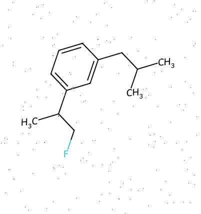 C[C](CF)c1cccc(CC(C)C)c1